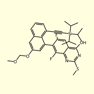 COCOc1cc(-c2c(F)cc3c(O)nc(SC)nc3c2F)c2c(C#C[Si](C(C)C)(C(C)C)C(C)C)cccc2c1